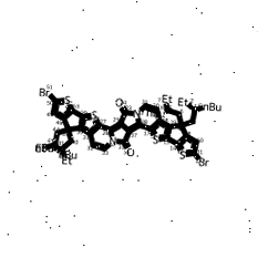 CCCCC(CC)CC1(CC(CC)CCCC)c2cc(Br)sc2-c2sc3c(c21)C=CN1C(=O)C2=C4c5sc6c(c5C=CN4C(=O)C2=C31)C(CC(CC)CCCC)(CC(CC)CCCC)c1cc(Br)sc1-6